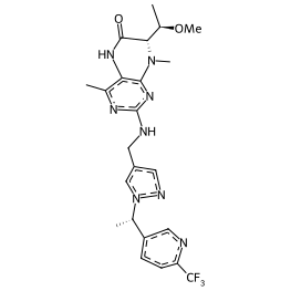 CO[C@H](C)[C@H]1C(=O)Nc2c(C)nc(NCc3cnn([C@@H](C)c4ccc(C(F)(F)F)nc4)c3)nc2N1C